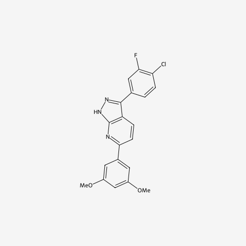 COc1cc(OC)cc(-c2ccc3c(-c4ccc(Cl)c(F)c4)n[nH]c3n2)c1